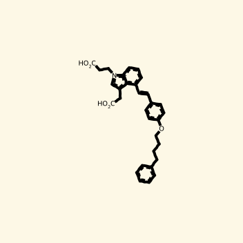 O=C(O)CCn1cc(CC(=O)O)c2c(/C=C/c3ccc(OCCCCc4ccccc4)cc3)cccc21